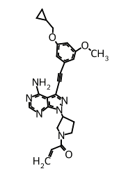 C=CC(=O)N1CCC(n2nc(C#Cc3cc(OC)cc(OCC4CC4)c3)c3c(N)ncnc32)C1